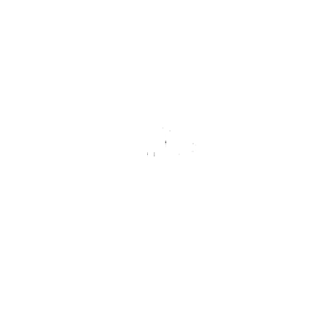 O=C1CCC2(CCCCC2)OC1=O